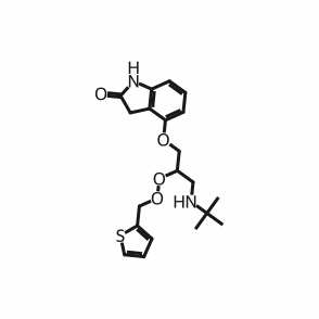 CC(C)(C)NCC(COc1cccc2c1CC(=O)N2)OOCc1cccs1